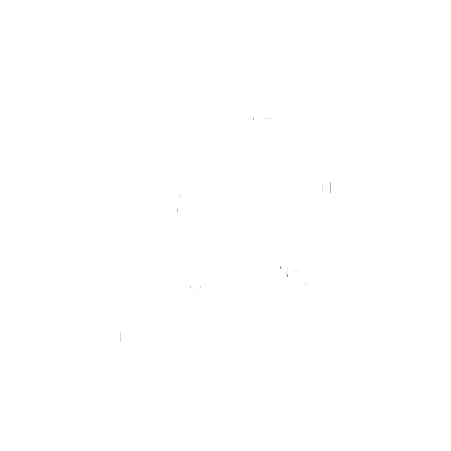 CCOC(=O)[C@@H](N)[C@@H](C)CC